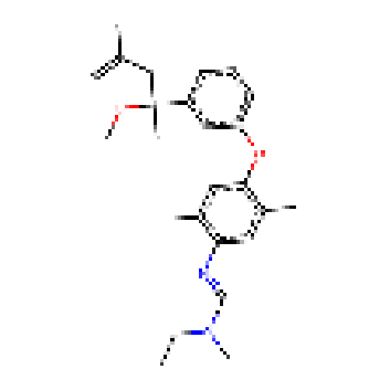 C=C(C)CC(C)(OC)c1cccc(Oc2cc(C)c(/N=C/N(C)CC)cc2C)c1